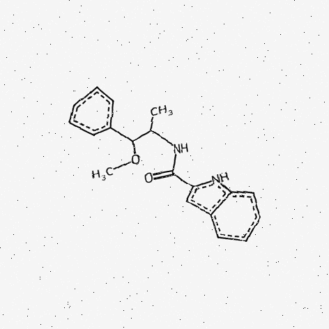 COC(c1ccccc1)C(C)NC(=O)c1cc2ccccc2[nH]1